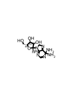 CCC[C@@]1(N2CN=C3C2=NC=NC3(N)N)O[C@H](CO)[C@@H](O)[C@H]1O